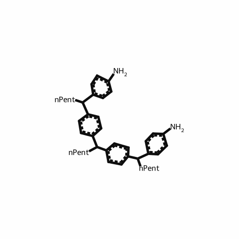 CCCCCC(c1ccc(N)cc1)c1ccc(C(CCCCC)c2ccc(C(CCCCC)c3ccc(N)cc3)cc2)cc1